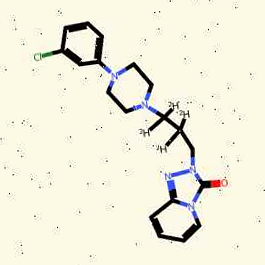 [2H]C([2H])(Cn1nc2ccccn2c1=O)C([2H])([2H])N1CCN(c2cccc(Cl)c2)CC1